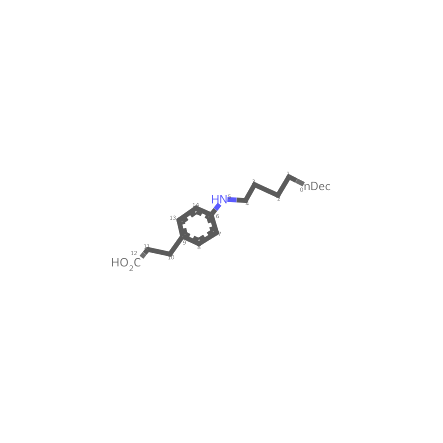 CCCCCCCCCCCCCCNc1ccc(CCC(=O)O)cc1